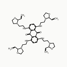 C=CC1OCCN1CCNc1ccc(NCCN2CCOC2C=C)c2c1C(=O)c1c(NCCN3CCOC3C=C)ccc(NCCN3CCOC3C=C)c1C2=O